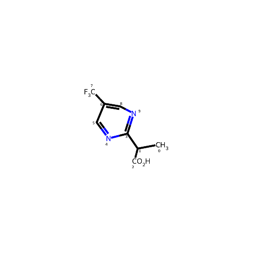 CC(C(=O)O)c1ncc(C(F)(F)F)cn1